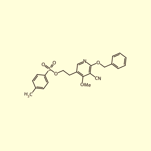 COc1c(CCOS(=O)(=O)c2ccc(C)cc2)cnc(OCc2ccccc2)c1C#N